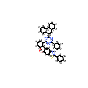 c1ccc(-c2nc(-c3cc4ccccc4c4ccccc34)nc(-c3cccc4oc5cc6sc(-c7ccccc7)nc6cc5c34)n2)cc1